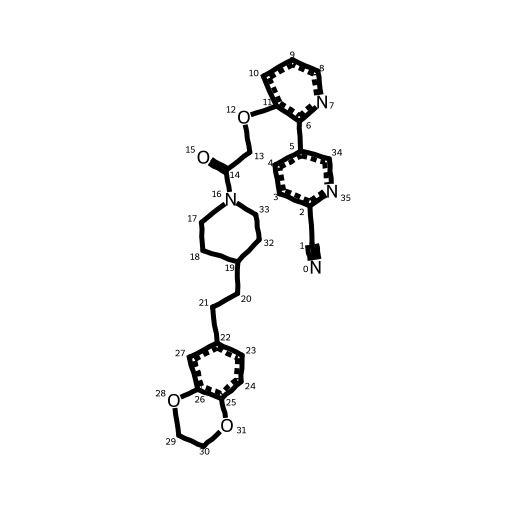 N#Cc1ccc(-c2ncccc2OCC(=O)N2CCC(CCc3ccc4c(c3)OCCO4)CC2)cn1